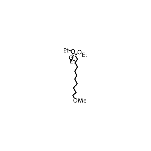 CCO[Si](CCCCCCCCCCOC)(OCC)OCC